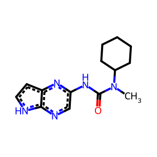 CN(C(=O)Nc1cnc2[nH]ccc2n1)C1CCCCC1